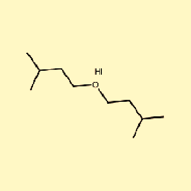 CC(C)CCOCCC(C)C.I